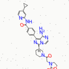 Nc1nccn2c([C@@H]3CCCN(C(=O)CN4CCOC4=O)C3)nc(-c3ccc(C(=O)Nc4cc(C5CC5)ccn4)cc3)c12